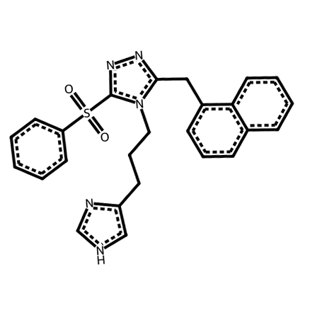 O=S(=O)(c1ccccc1)c1nnc(Cc2cccc3ccccc23)n1CCCc1c[nH]cn1